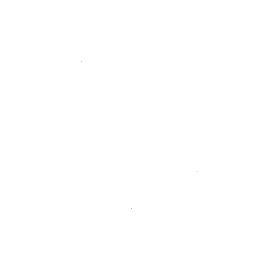 c1ncc(C2CN3CCCC3c3cc(OCCCN4CCOCC4)ccc32)[nH]1